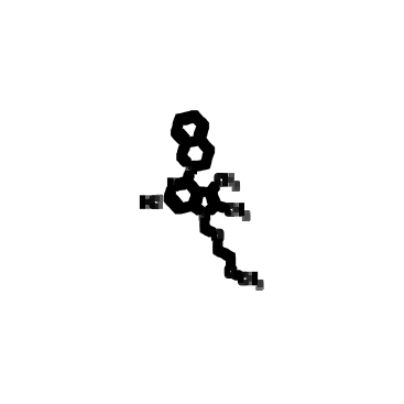 COCCOCn1c(C)c(C)c2c(N3CCc4ccccc4C3)nccc21.Cl